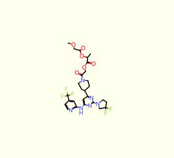 COCC(=O)OC(C)C(=O)OCC(=O)N1CCC(c2cc(Nc3cc(C(F)(F)F)ccn3)nc(N3CCC(F)(F)C3)n2)CC1